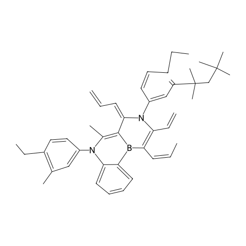 C=C/C=C1\C2=C(C)N(c3ccc(CC)c(C)c3)c3ccccc3B2C(/C=C\C)=C(C=C)N1C(/C=C\CCC)=C/C(=C)C(C)(C)CC(C)(C)C